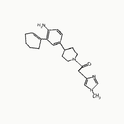 Cn1cnc(CC(=O)N2CCC(c3ccc(N)c(C4=CCCCC4)c3)CC2)c1